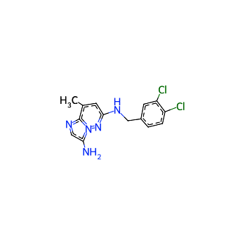 Cc1cc(NCc2ccc(Cl)c(Cl)c2)nn2c(N)cnc12